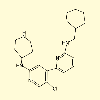 Clc1cnc(NC2CCNCC2)cc1-c1cccc(NCC2CCCCC2)n1